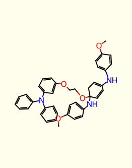 COc1ccc(NC2=CCC(Nc3ccc(OC)cc3)(OCCOc3cccc(N(c4ccccc4)c4ccccc4)c3)C=C2)cc1